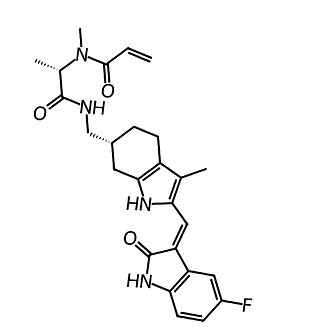 C=CC(=O)N(C)[C@@H](C)C(=O)NC[C@@H]1CCc2c([nH]c(/C=C3\C(=O)Nc4ccc(F)cc43)c2C)C1